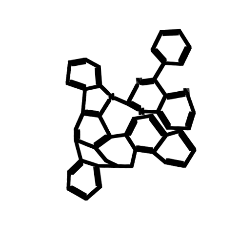 c1ccc(-c2nc(-n3c4ccccc4c4cc5c6c(c43)-c3ccc4ccccc4c3C(CC6)c3ccccc3-5)nc3cccnc23)cc1